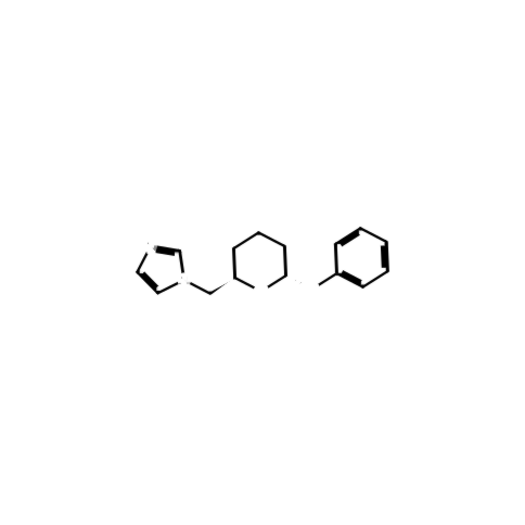 c1ccc(O[C@H]2CCC[C@H](Cn3ccnc3)O2)cc1